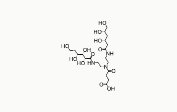 O=C(O)CCC(=O)N(CCNC(=O)C[C@H](O)C[C@H](O)CO)CCNC(=O)[C@H](O)[C@@H](O)[C@H](O)CCO